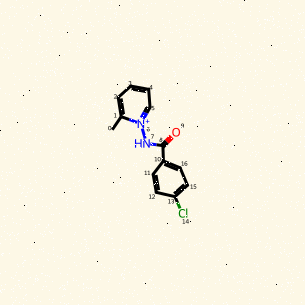 Cc1cccc[n+]1NC(=O)c1ccc(Cl)cc1